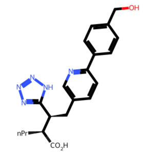 CCC[C@H](C(=O)O)[C@H](Cc1ccc(-c2ccc(CO)cc2)nc1)c1nnn[nH]1